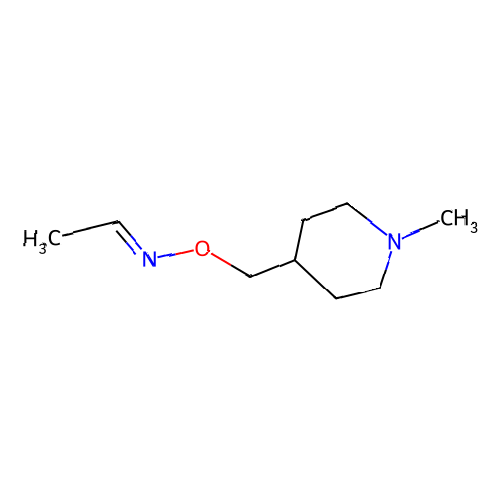 CC=NOCC1CCN(C)CC1